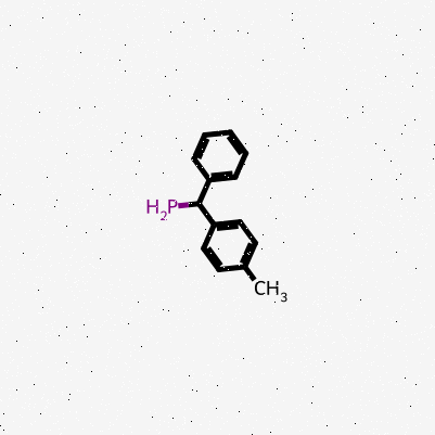 Cc1ccc(C(P)c2ccccc2)cc1